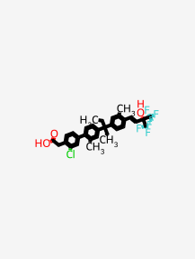 CCC(CC)(c1ccc(/C=C/C(O)(C(F)(F)F)C(F)(F)F)c(C)c1)c1ccc(-c2ccc(CC(=O)O)c(Cl)c2)c(C)c1